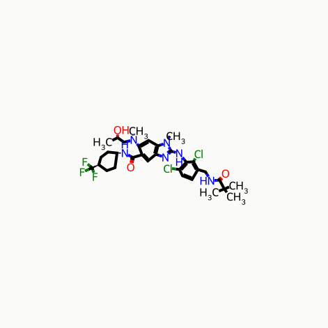 CC(O)CN(C)c1cc2c(cc1C(=O)N[C@H]1CC[C@H](C(F)(F)F)CC1)nc(Nc1c(Cl)ccc(CNC(=O)C(C)(C)C)c1Cl)n2C